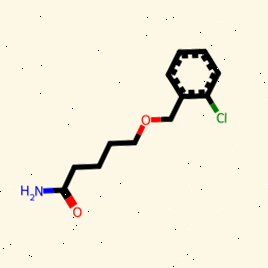 NC(=O)CCCCOCc1ccccc1Cl